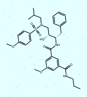 CCCNC(=O)c1cc(OC)cc(C(=O)N[C@@H](Cc2ccccc2)[C@H](O)CN(CC(C)C)S(=O)(=O)c2ccc(OC)cc2)c1